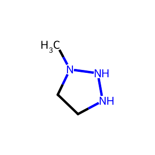 CN1CCNN1